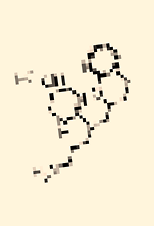 Cl.Cl.NCCCN(CC1CCc2cccnc2O1)C1=NCCCN1